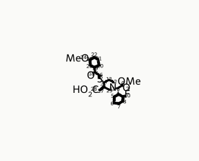 COC(=O)[C@H](c1ccccc1F)N1CC[C@H](SCC(=O)c2cccc(OC)c2)/C(=C\C(=O)O)C1